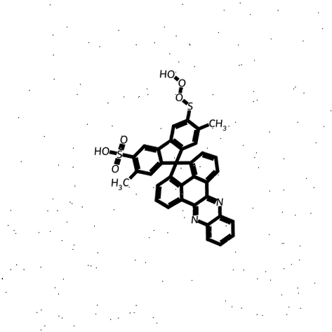 Cc1cc2c(cc1SOOO)-c1cc(S(=O)(=O)O)c(C)cc1C21c2cccc3c4nc5ccccc5nc4c4cccc1c4c23